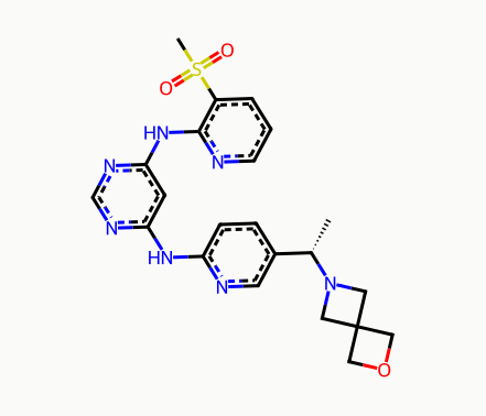 C[C@@H](c1ccc(Nc2cc(Nc3ncccc3S(C)(=O)=O)ncn2)nc1)N1CC2(COC2)C1